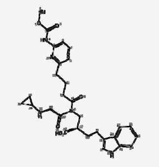 CC(C)(C)OC(=O)Nc1cccc(CCCC(=O)N(C[C@@H](CCc2c[nH]c3ccccc23)C(=O)O)C(=O)CNC2CC2)n1